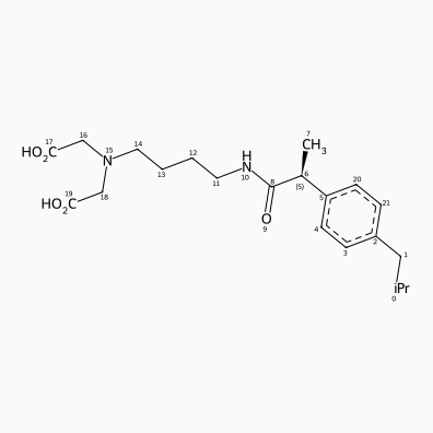 CC(C)Cc1ccc([C@H](C)C(=O)NCCCCN(CC(=O)O)CC(=O)O)cc1